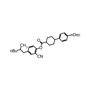 CCCCCCCCCCc1ccc(C2CCC(C(=O)Oc3ccc(CC(C)CCCC)cc3C#N)CC2)cc1